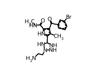 CNC(=O)c1[nH]c(C2NNN(CCN)N2)c(C)c1C(=O)c1cccc(Br)c1